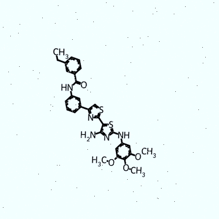 CCc1cccc(C(=O)Nc2cccc(-c3csc(-c4sc(Nc5cc(OC)c(OC)c(OC)c5)nc4N)n3)c2)c1